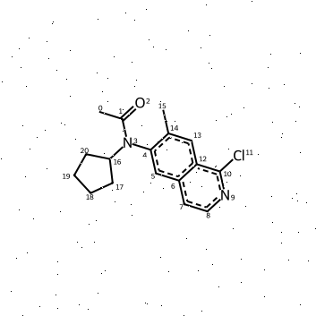 CC(=O)N(c1cc2ccnc(Cl)c2cc1C)C1CCCC1